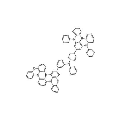 c1ccc(N(c2ccc(-c3cc4c5c(c3)N(c3ccccc3)c3ccccc3B5c3ccccc3N4c3ccccc3)cc2)c2cccc(-c3cc4c5c(c3)B3c6cccc7c6N(c6ccccc6O7)c6cccc(c63)N5c3ccccc3O4)c2)cc1